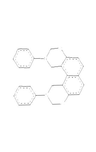 c1ccc(N2COc3ccc4ccc5c(c4c3C2)CN(c2ccccc2)CO5)cc1